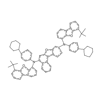 CC(C)(C)c1cccc2c1oc1c(N(c3ccc(C4CCCCC4)cc3)c3ccc4c(c3)oc3cc(N(c5ccc(C6CCCCC6)cc5)c5cccc6c5oc5c(C(C)(C)C)cccc56)c5ccccc5c34)cccc12